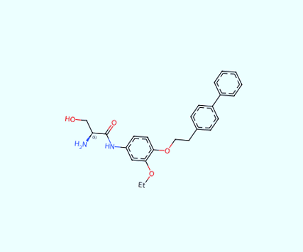 CCOc1cc(NC(=O)[C@@H](N)CO)ccc1OCCc1ccc(-c2ccccc2)cc1